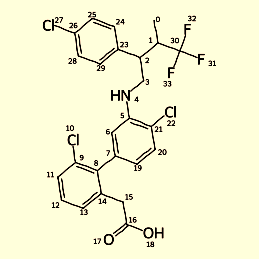 CC(C(CNc1cc(-c2c(Cl)cccc2CC(=O)O)ccc1Cl)c1ccc(Cl)cc1)C(F)(F)F